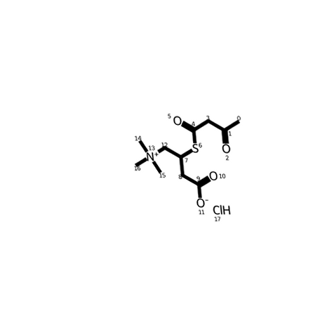 CC(=O)CC(=O)SC(CC(=O)[O-])C[N+](C)(C)C.Cl